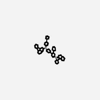 c1ccc(-c2ccc(N(c3ccc(-c4ccc(-n5c6ccccc6c6c7ccccc7ccc65)cc4-c4ccccc4)cc3)c3cc4c5c(cccc5c3)-c3ccccc3-4)cc2)cc1